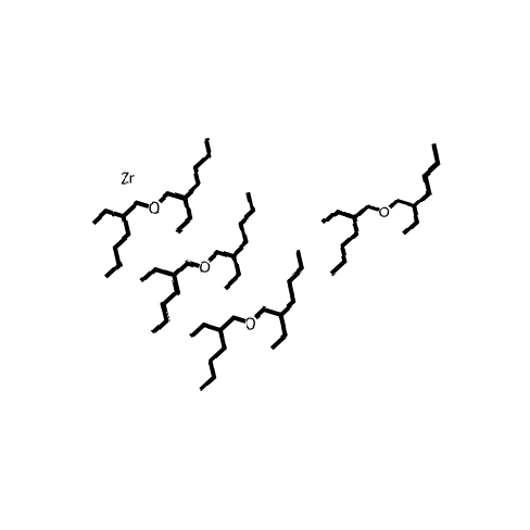 CCCCC(CC)COCC(CC)CCCC.CCCCC(CC)COCC(CC)CCCC.CCCCC(CC)COCC(CC)CCCC.CCCCC(CC)COCC(CC)CCCC.[Zr]